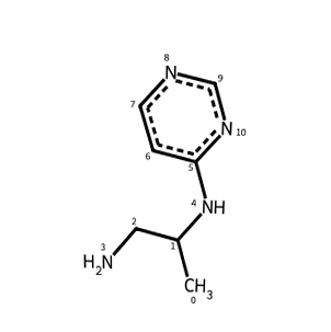 CC(CN)Nc1ccncn1